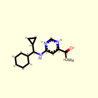 COC(=O)c1cc(NC(C2CCCCC2)C2CC2)ncn1